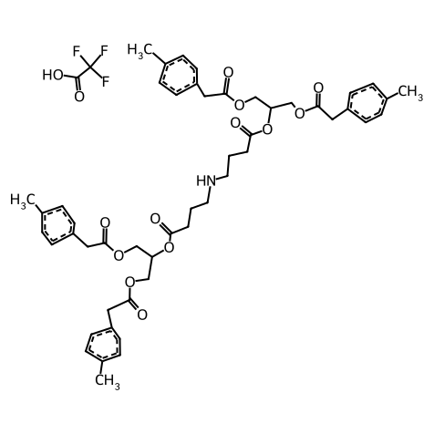 Cc1ccc(CC(=O)OCC(COC(=O)Cc2ccc(C)cc2)OC(=O)CCCNCCCC(=O)OC(COC(=O)Cc2ccc(C)cc2)COC(=O)Cc2ccc(C)cc2)cc1.O=C(O)C(F)(F)F